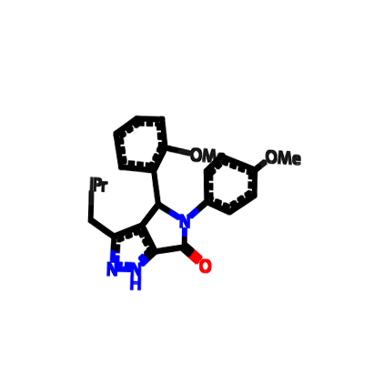 COc1ccc(N2C(=O)c3[nH]nc(CC(C)C)c3C2c2ccccc2OC)cc1